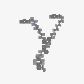 CCCCCCCC/C=C\CCCCCCCCOCC(COC(=O)CCCN1CCN(C)CC1)OCCCCCCCC/C=C\CCCCCCCC